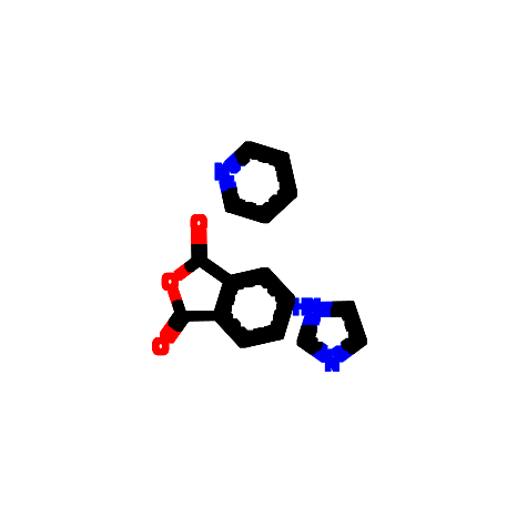 O=C1OC(=O)c2ccccc21.c1c[nH]cn1.c1ccncc1